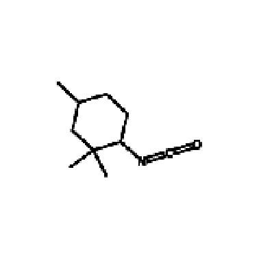 CC1CCC(N=C=O)C(C)(C)C1